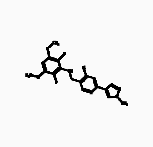 COc1cc(OC)c(F)c(NCc2cnc(-c3cnn(C)c3)cc2Cl)c1F